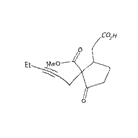 CCC#CCC1(C(=O)OC)C(=O)CCC1CC(=O)O